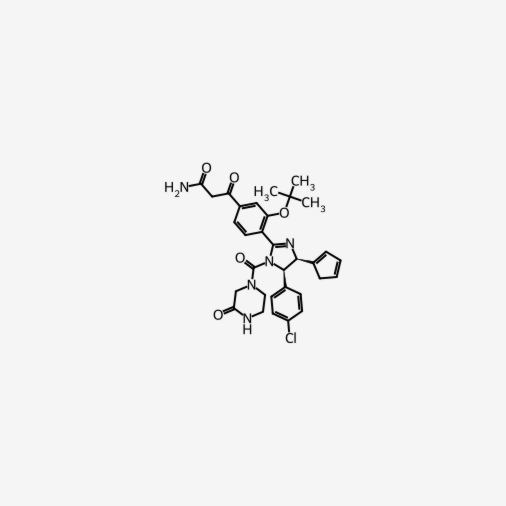 CC(C)(C)Oc1cc(C(=O)CC(N)=O)ccc1C1=N[C@@H](C2=CC=CC2)[C@@H](c2ccc(Cl)cc2)N1C(=O)N1CCNC(=O)C1